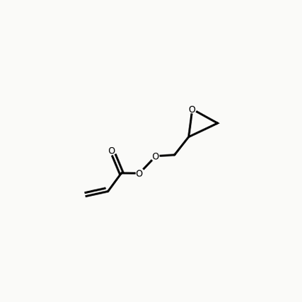 C=CC(=O)OOCC1CO1